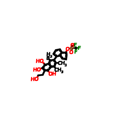 Bc1c(-c2cccc3c(OS(=O)(=O)C(F)(F)F)cccc23)c(C)c(C)c2c(O)c(CCO)c(O)c(O)c12